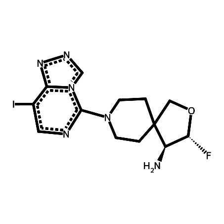 N[C@@H]1[C@@H](F)OCC12CCN(c1ncc(I)c3nncn13)CC2